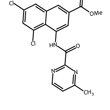 COC(=O)c1cc(NC(=O)c2nccc(C)n2)c2c(Cl)cc(Cl)cc2c1